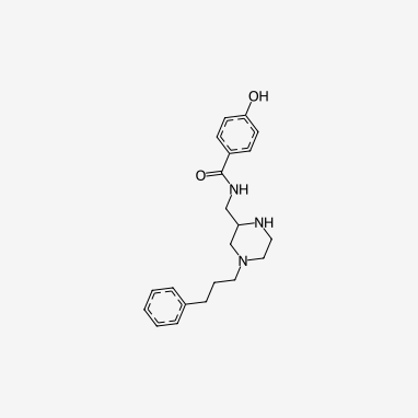 O=C(NCC1CN(CCCc2ccccc2)CCN1)c1ccc(O)cc1